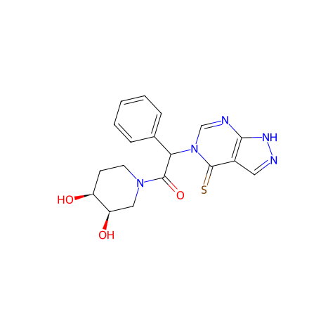 O=C(C(c1ccccc1)n1cnc2[nH]ncc2c1=S)N1CC[C@H](O)[C@H](O)C1